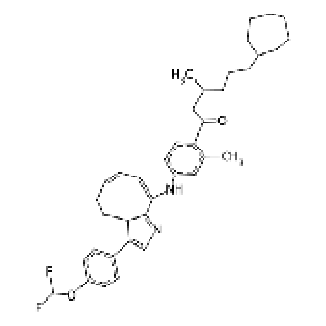 Cc1cc(N/C2=C/C=C\CCC3C(c4ccc(OC(F)F)cc4)=CN=C23)ccc1C(=O)CC(C)CCCC1CCCCCC1